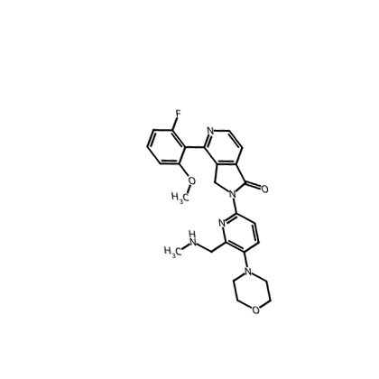 CNCc1nc(N2Cc3c(ccnc3-c3c(F)cccc3OC)C2=O)ccc1N1CCOCC1